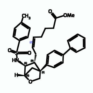 COC(=O)CCC/C=C\C[C@H]1[C@H](NS(=O)(=O)c2ccc(C)cc2)[C@@H]2C[C@@]1(c1ccc(-c3ccccc3)cc1)CO2